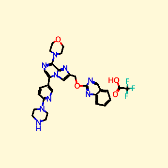 O=C(O)C(F)(F)F.c1ccc2nc(OCc3cn4c(-c5ccc(N6CCNCC6)nc5)cnc(N5CCOCC5)c4n3)ncc2c1